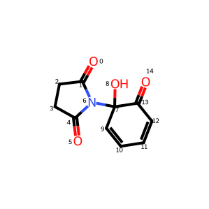 O=C1CCC(=O)N1C1(O)C=CC=CC1=O